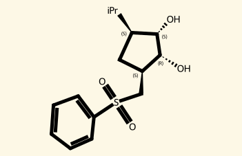 CC(C)[C@@H]1C[C@H](CS(=O)(=O)c2ccccc2)[C@@H](O)[C@H]1O